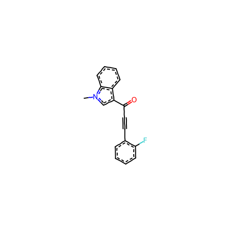 Cn1cc(C(=O)C#Cc2ccccc2F)c2ccccc21